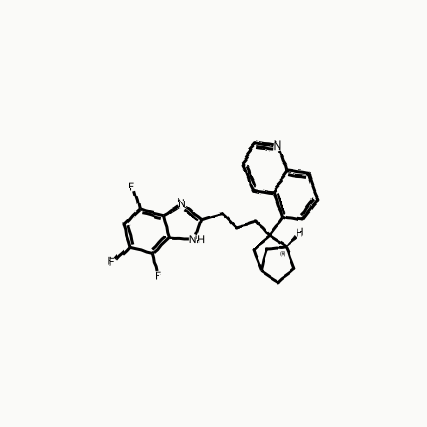 Fc1cc(F)c2nc(CCCC3(c4cccc5ncccc45)CC4CC[C@@H]3C4)[nH]c2c1F